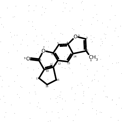 Cc1coc2cc3oc(=O)c4c(c3cc12)CCC4